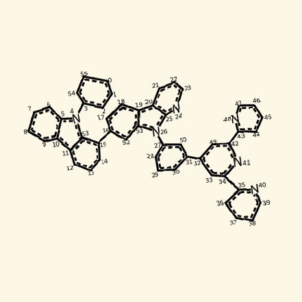 c1ccc(-n2c3ccccc3c3cccc(-c4ccc5c6cccnc6n(-c6cccc(-c7cc(-c8ccccn8)nc(-c8ccccn8)c7)c6)c5c4)c32)cc1